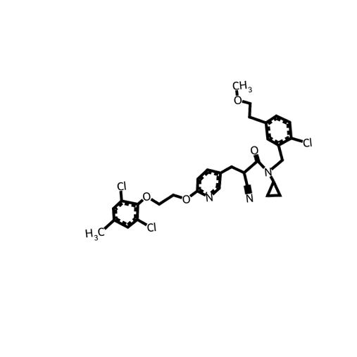 COCCc1ccc(Cl)c(CN(C(=O)C(C#N)Cc2ccc(OCCOc3c(Cl)cc(C)cc3Cl)nc2)C2CC2)c1